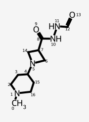 CN1CCC(N2CC(C(=O)NNC=O)C2)CC1